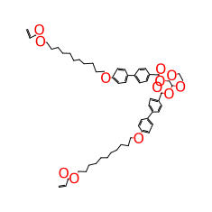 C=CC(=O)OCCCCCCCCCCCOc1ccc(-c2ccc(C(=O)OC3OCCOC3OC(=O)c3ccc(-c4ccc(OCCCCCCCCCCCOC(=O)C=C)cc4)cc3)cc2)cc1